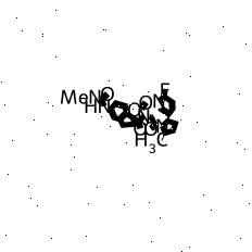 CNC(=O)Nc1ccc2c(c1)CCC21OC(=O)N(CC(=O)N2[C@@H](c3ccc(F)nc3)CC[C@@H]2C)C1=O